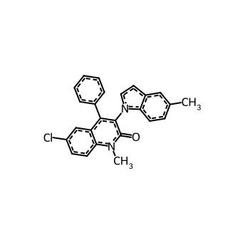 Cc1ccc2c(ccn2-c2c(-c3ccccc3)c3cc(Cl)ccc3n(C)c2=O)c1